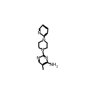 Cc1cnc(N2CCN(c3ccccn3)CC2)nc1N